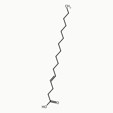 CCCCCCCCCCCC=CCCC(=O)O